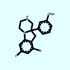 COc1cccc(C23CNCCN2c2cc(F)cc(Br)c2C3)c1